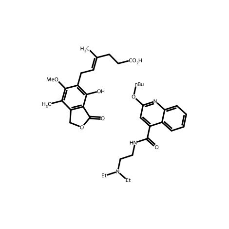 CCCCOc1cc(C(=O)NCCN(CC)CC)c2ccccc2n1.COc1c(C)c2c(c(O)c1C/C=C(\C)CCC(=O)O)C(=O)OC2